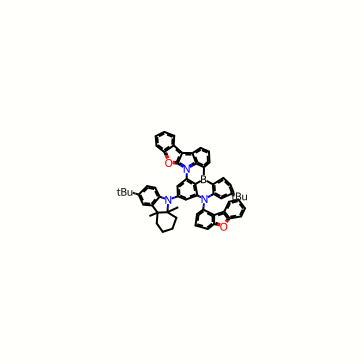 CC(C)(C)c1ccc2c(c1)N(c1cccc3oc4ccccc4c13)c1cc(N3c4ccc(C(C)(C)C)cc4C4(C)CCCCC34C)cc3c1B2c1cccc2c4c5ccccc5oc4n-3c12